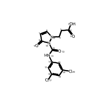 O=C(O)CCn1ccc(=O)n1C(=O)Nc1cc(Cl)cc(Cl)c1